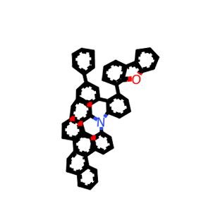 c1ccc(-c2cccc(-c3c(-c4cccc5c4oc4ccccc45)cccc3N(c3ccccc3-c3ccccc3)c3ccccc3-c3ccc4c(ccc5ccccc54)c3)c2)cc1